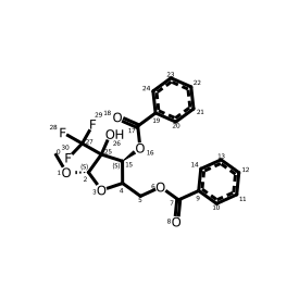 CO[C@H]1OC(COC(=O)c2ccccc2)[C@H](OC(=O)c2ccccc2)C1(O)C(F)(F)F